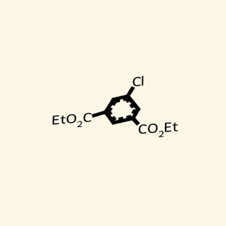 CCOC(=O)c1cc(Cl)cc(C(=O)OCC)c1